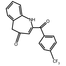 O=C1C=C(C(=O)c2ccc(C(F)(F)F)cc2)Nc2ccccc2C1